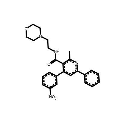 Cc1nc(-c2ccccc2)cc(-c2cccc([N+](=O)[O-])c2)c1C(=O)NCCN1CCOCC1